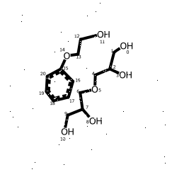 OCC(O)COCC(O)CO.OCCOc1ccccc1